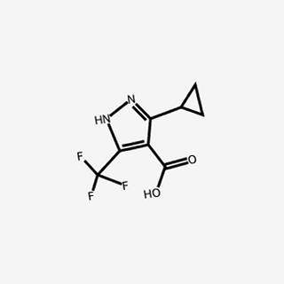 O=C(O)c1c(C2CC2)n[nH]c1C(F)(F)F